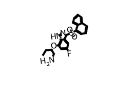 CCC(CN)Oc1cc(F)cc2c(S(=O)(=O)c3cccc4ccccc34)n[nH]c12